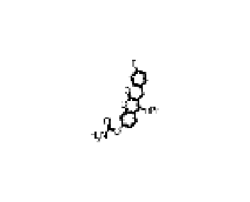 CCCc1c(Cc2ccc(F)cc2)c(=O)oc2cc(OC(N)=O)ccc12